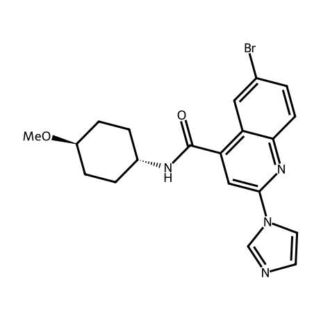 CO[C@H]1CC[C@H](NC(=O)c2cc(-n3ccnc3)nc3ccc(Br)cc23)CC1